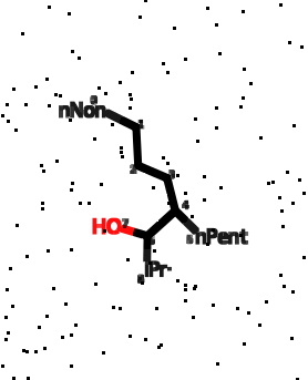 CCCCCCCCCCCCC(CCCCC)C(O)[C](C)C